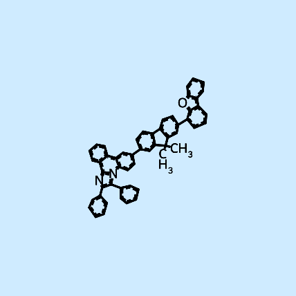 CC1(C)c2cc(-c3ccc4c(c3)c3ccccc3c3nc(-c5ccccc5)c(-c5ccccc5)n43)ccc2-c2ccc(-c3cccc4c3oc3ccccc34)cc21